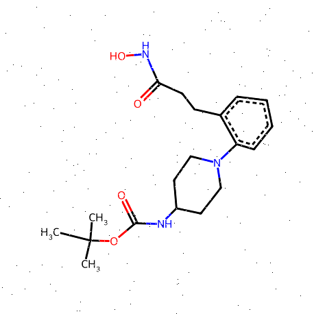 CC(C)(C)OC(=O)NC1CCN(c2ccccc2CCC(=O)NO)CC1